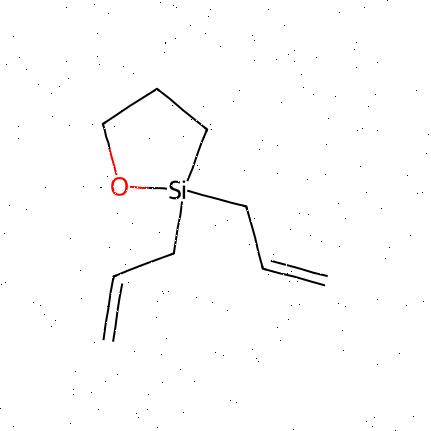 C=CC[Si]1(CC=C)CCCO1